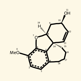 COc1ccc2c3c1O[C@H]1C[C@@H](O)C=C[C@@]31CCCC2